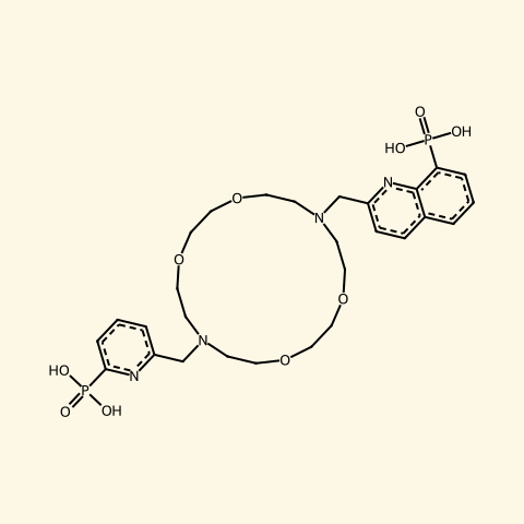 O=P(O)(O)c1cccc(CN2CCOCCOCCN(Cc3ccc4cccc(P(=O)(O)O)c4n3)CCOCCOCC2)n1